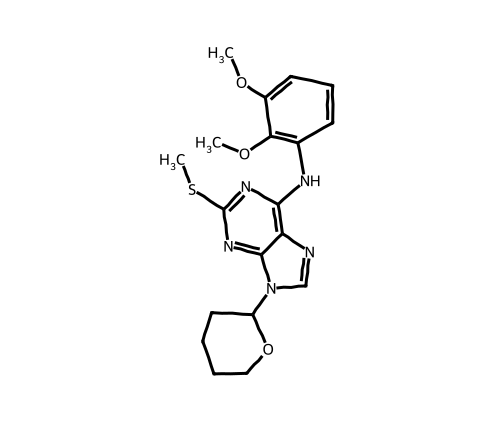 COc1cccc(Nc2nc(SC)nc3c2ncn3C2CCCCO2)c1OC